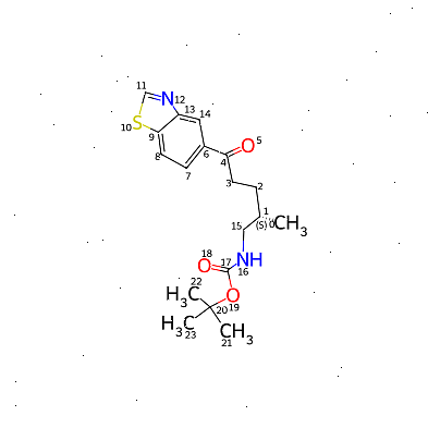 C[C@@H](CCC(=O)c1ccc2scnc2c1)CNC(=O)OC(C)(C)C